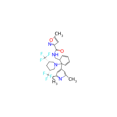 Cc1cc(C2(N3C[C@H](C(F)(F)F)C[C@H](C(F)(F)F)C3)C=CC=CC2CNC(=O)c2cc(C)on2)cc(C)n1